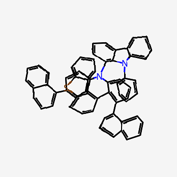 c1ccc(-n2c3ccccc3c3cccc(N(c4ccc(-c5cccc6ccccc56)cc4)c4cccc(-c5cccc6ccccc56)c4-c4cccc5sc6ccccc6c45)c32)cc1